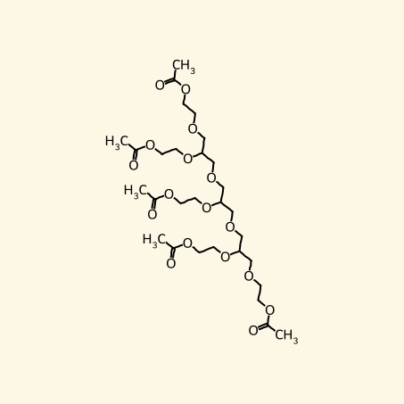 CC(=O)OCCOCC(COCC(COCC(COCCOC(C)=O)OCCOC(C)=O)OCCOC(C)=O)OCCOC(C)=O